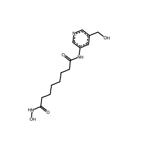 O=C(CCCCCCC(=O)Nc1cncc(CO)c1)NO